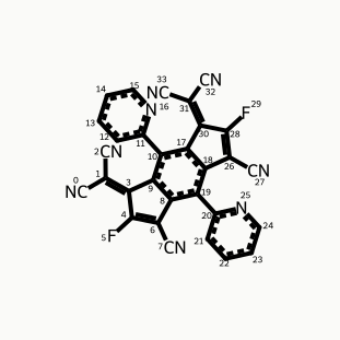 N#CC(C#N)=C1C(F)=C(C#N)c2c1c(-c1ccccn1)c1c(c2-c2ccccn2)C(C#N)=C(F)C1=C(C#N)C#N